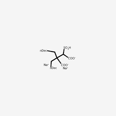 CCCCCCCCCCCC(CCCCCCCCCCC)(C(=O)[O-])C(C(=O)[O-])S(=O)(=O)O.[Na+].[Na+]